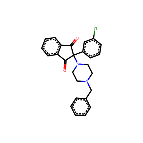 O=C1c2ccccc2C(=O)C1(c1cccc(Cl)c1)N1CCN(Cc2ccccc2)CC1